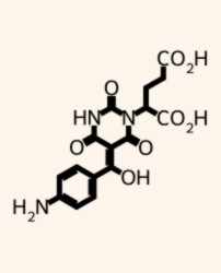 Nc1ccc(/C(O)=C2\C(=O)NC(=O)N(C(CCC(=O)O)C(=O)O)C2=O)cc1